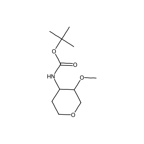 COC1COCCC1NC(=O)OC(C)(C)C